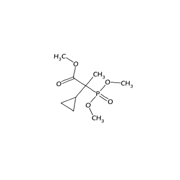 COC(=O)C(C)(C1CC1)P(=O)(OC)OC